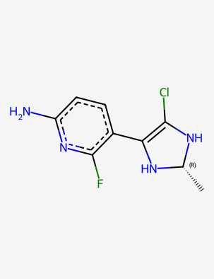 C[C@H]1NC(Cl)=C(c2ccc(N)nc2F)N1